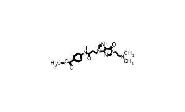 CCOC(=O)c1ccc(NC(=O)CCn2cnc3c(=O)n(CCN(C)C)cnc32)cc1